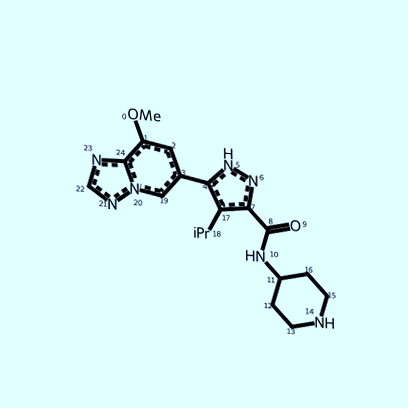 COc1cc(-c2[nH]nc(C(=O)NC3CCNCC3)c2C(C)C)cn2ncnc12